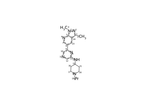 Cc1nn(C)c2ncc(-c3cncc(NC4CCN(C(C)C)CC4)n3)cc12